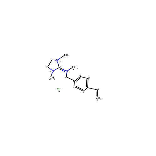 C=Cc1ccc(C[N+](C)=C2N(C)CCN2C)cc1.[Cl-]